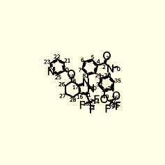 CN(C(=O)c1cccc(-n2nc(C(F)(F)F)c3c2[C@H](Oc2cccnc2)CCC3)c1)c1ccc2c(c1)OC(F)(F)O2